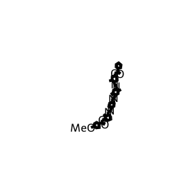 COc1ccc(C(=O)Oc2cccc(N=Nc3ccc(N=Nc4cc(C)c(N=Nc5ccc(OC(=O)c6ccccc6)cc5C)cc4C)cc3)c2C)cc1